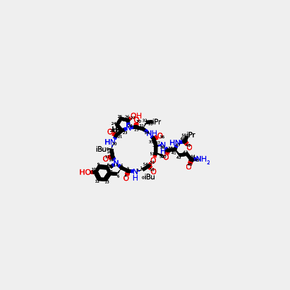 CC[C@H](C)[C@@H]1NC(=O)[C@H](Cc2ccc(O)cc2)N(C)C(=O)[C@H]([C@@H](C)CC)NC(=O)[C@H]2CCC(O)N2C(=O)[C@H](CC(C)C)NC(=O)[C@@H](NC(=O)[C@H](CCC(N)=O)NC(=O)C(C)C)[C@@H](C)OC1=O